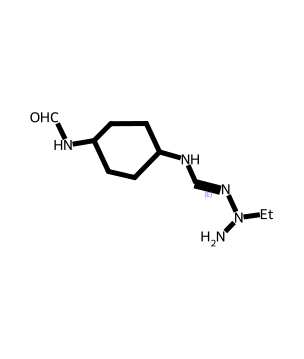 CCN(N)/N=C/NC1CCC(NC=O)CC1